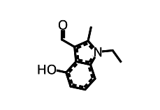 CCn1c(C)c(C=O)c2c(O)cccc21